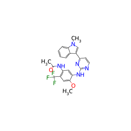 COc1cc(C(F)(F)F)c(NC(C)=O)cc1Nc1nccc(-c2cn(C)c3ccccc23)n1